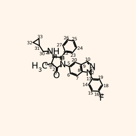 C[C@@H]1C(=O)N(c2ccc3c(cnn3-c3ccc(F)cc3)c2)[C@H](c2ccccc2)[C@H]1NCC1CC1